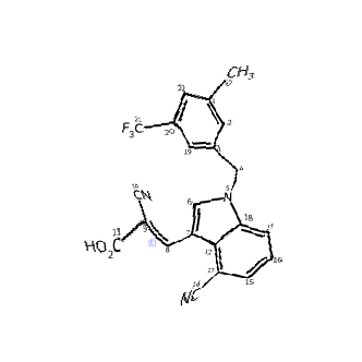 Cc1cc(Cn2cc(/C=C(\C#N)C(=O)O)c3c(C#N)cccc32)cc(C(F)(F)F)c1